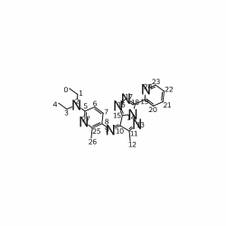 CCN(CC)c1ccc(N=C2C(C)=Nn3c2nnc3-c2ccccn2)c(C)n1